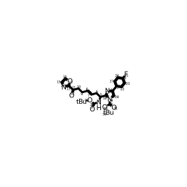 CC(C)(C)OC(=O)NC(CC=CCCC(=O)c1ncco1)c1nc(-c2ccc(F)cc2)cn1C(=O)OC(C)(C)C